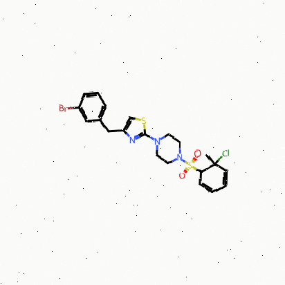 CC1(Cl)C=CC=CC1S(=O)(=O)N1CCN(c2nc(Cc3cccc(Br)c3)cs2)CC1